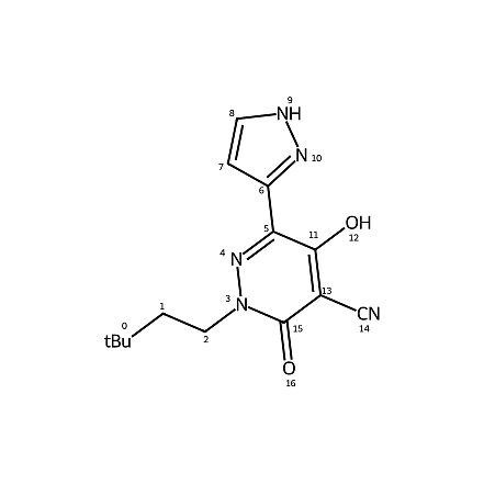 CC(C)(C)CCn1nc(-c2cc[nH]n2)c(O)c(C#N)c1=O